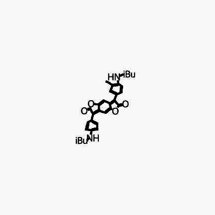 CCC(C)Nc1ccc(C2=c3cc4c(cc3OC2=O)=C(c2ccc(NC(C)CC)c(C)c2)C(=O)O4)cc1